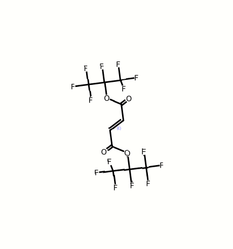 O=C(/C=C/C(=O)OC(F)(C(F)(F)F)C(F)(F)F)OC(F)(C(F)(F)F)C(F)(F)F